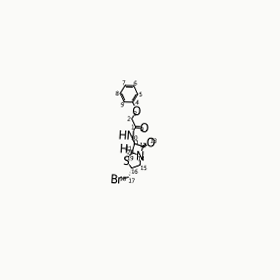 O=C(COc1ccccc1)NC1C(=O)N2C[C@H](CBr)S[C@@H]12